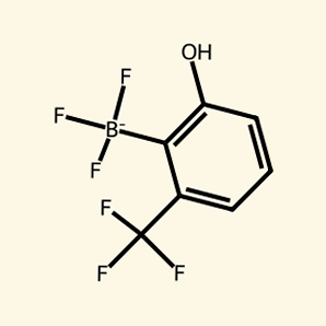 Oc1cccc(C(F)(F)F)c1[B-](F)(F)F